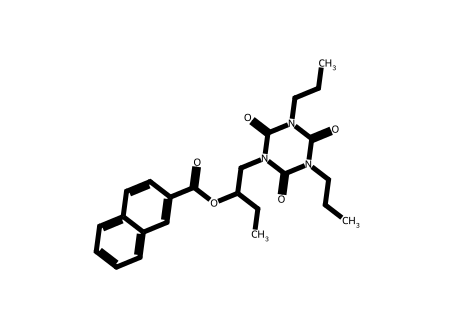 CCCn1c(=O)n(CCC)c(=O)n(CC(CC)OC(=O)c2ccc3ccccc3c2)c1=O